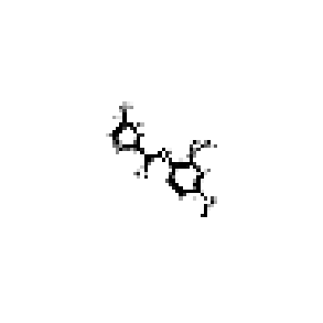 COc1ccc(OC(=O)c2ncc(C)o2)c(OC)c1